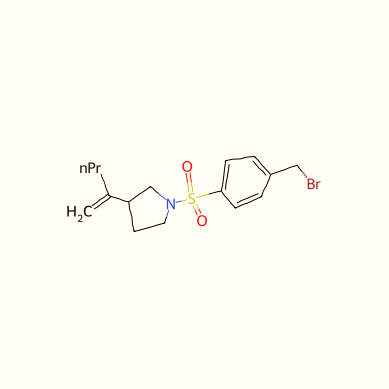 C=C(CCC)C1CCN(S(=O)(=O)c2ccc(CBr)cc2)C1